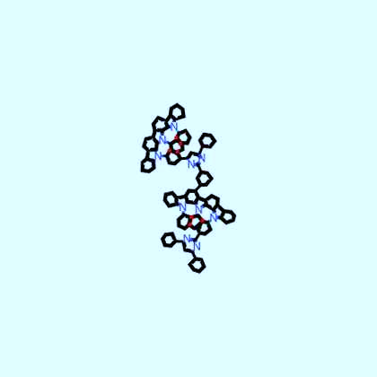 c1ccc(-c2cc(-c3ccccc3)nc(-c3ccc(-n4c5ccccc5c5ccc6c7c(-c8cccc(-c9nc(-c%10ccccc%10)cc(-c%10ccc(-n%11c%12ccccc%12c%12ccc%13c%14ccc%15c%16ccccc%16n(-c%16ccccc%16)c%15c%14n(-c%14ccccc%14)c%13c%12%11)cc%10)n9)c8)cc8c9ccccc9n(-c9ccccc9)c8c7n(-c7ccccc7)c6c54)cc3)n2)cc1